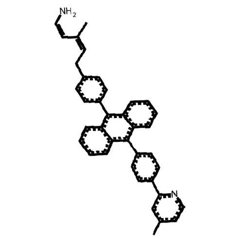 CC(/C=C\N)=C/Cc1ccc(-c2c3ccccc3c(-c3ccc(-c4cc(C)ccn4)cc3)c3ccccc23)cc1